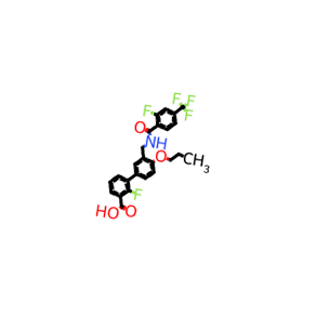 CCCOc1ccc(-c2cccc(C(=O)O)c2F)cc1CNC(=O)c1ccc(C(F)(F)F)cc1F